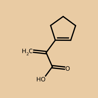 C=C(C(=O)O)C1=CCCC1